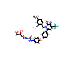 Cc1ccc(Cn2c(-c3ccc(Oc4ccc(NC(=O)NOCC(O)CO)cc4)cc3)cc(C(F)(F)F)c(N)c2=O)c(C)c1